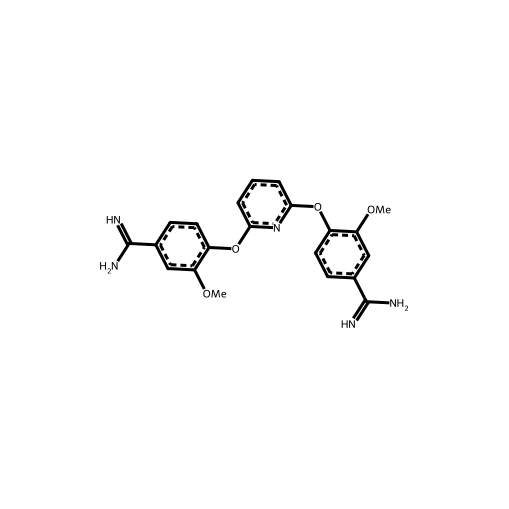 COc1cc(C(=N)N)ccc1Oc1cccc(Oc2ccc(C(=N)N)cc2OC)n1